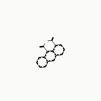 O=C1OC(=O)c2c3ccccc3cc3cccc1c23